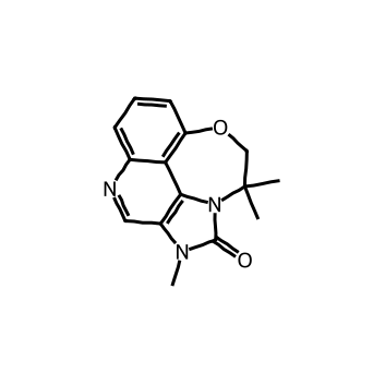 Cn1c(=O)n2c3c4c(cccc4ncc31)OCC2(C)C